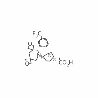 O=C(O)C[C@@H]1CC[C@@H](N2CC3(COC3)CC3(COC3)C2)[C@H](c2ccc(C(F)(F)F)cc2)C1